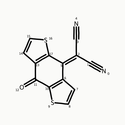 N#CC(C#N)=C1c2ccsc2C(=O)c2ccsc21